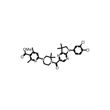 COC(=O)c1c(C)cc(N2CCN(C(=O)c3cnc4c(n3)C(C)(C)CN4c3ccc(Cl)c(Cl)c3)C(C)(C)C2)nc1C